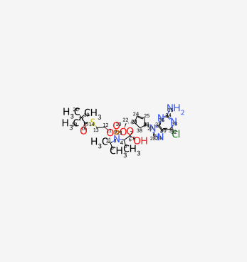 CC(C)N(C(C)C(=O)O)P(=O)(OCCSC(=O)C(C)(C)C)OC[C@@H]1C=C[C@H](n2cnc3c(Cl)nc(N)nc32)C1